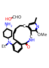 CCN(c1cccc2c1CC=CCCc1cc(C)nc(OC)c1CNC2=O)[C@H]1CC[C@@H](N)CC1.O=CO